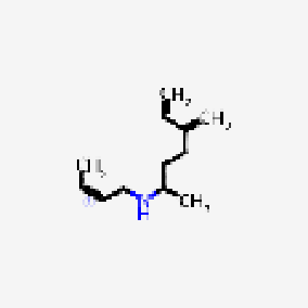 C=CC(=C)CCC(C)NC/C=C\C